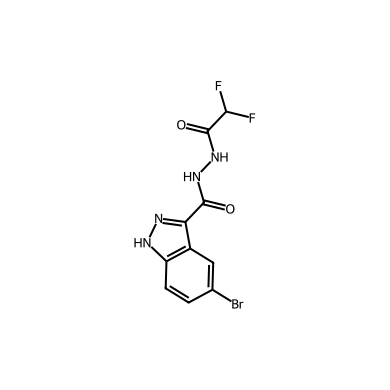 O=C(NNC(=O)C(F)F)c1n[nH]c2ccc(Br)cc12